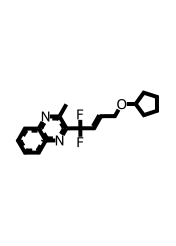 Cc1nc2ccccc2nc1C(F)(F)/C=C/COC1CCCC1